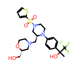 CC(O)(c1ccc(N2CCN(S(=O)(=O)c3cccs3)C[C@@H]2CN2CCO[C@@H](CO)C2)cc1)C(F)(F)F